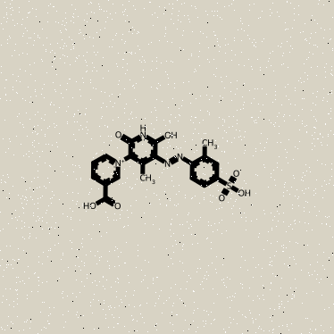 Cc1cc(S(=O)(=O)O)ccc1/N=N/c1c(O)[nH]c(=O)c(-[n+]2cccc(C(=O)O)c2)c1C